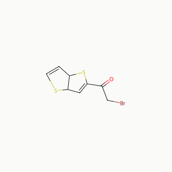 O=C(CBr)C1=CC2SC=CC2S1